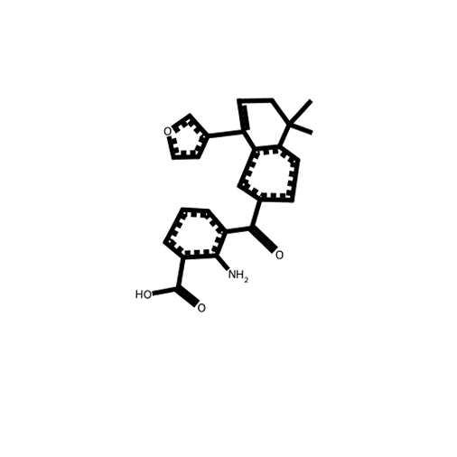 CC1(C)CC=C(c2ccoc2)c2cc(C(=O)c3cccc(C(=O)O)c3N)ccc21